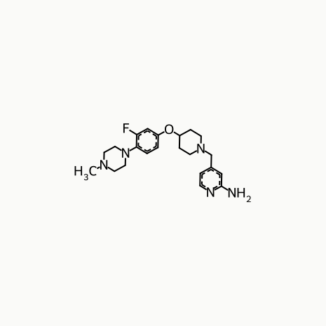 CN1CCN(c2ccc(OC3CCN(Cc4ccnc(N)c4)CC3)cc2F)CC1